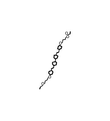 C=CCOCCCCOc1ccc(C=Cc2ccc(-c3ccc(C=Cc4ccc(OCCCCOC(=O)C=C)cc4)cc3)cc2)cc1